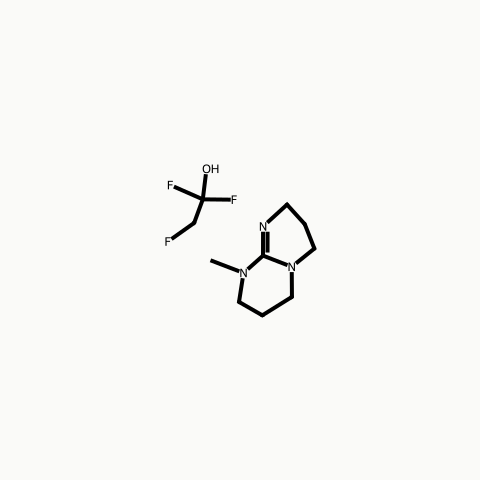 CN1CCCN2CCCN=C12.OC(F)(F)CF